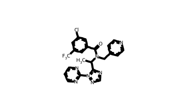 CC(c1ncnn1-c1ncccn1)N(Cc1ccncc1)C(=O)c1cc(Cl)cc(C(F)(F)F)c1